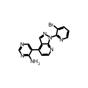 Nc1ncncc1-c1ccnc2c1cnn2-c1ncccc1Br